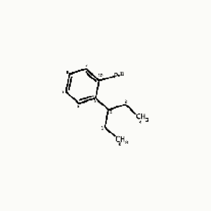 CCC(CC)c1ccccc1[P]